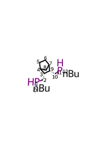 CCCCPC[C@@H]1C2CCC(C2)[C@@H]1CPCCCC